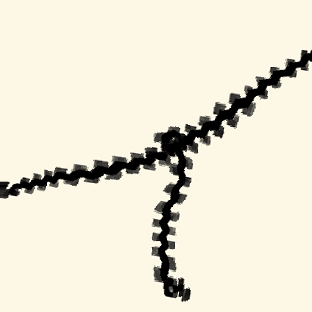 CCCCCCCCCCCCCCCCCCCn1cc[n+](CCCCCCCCCCCCCCCCCCC)c1CCCCCCCCCCCCCCC